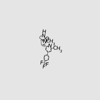 Cc1cc(-c2ccc(C(F)(F)F)cc2)cc([C@@H]2CC[C@@]3(CCNC3=O)N2C)n1